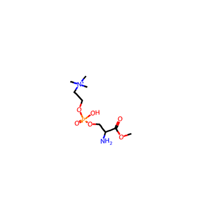 COC(=O)C(N)COP(=O)(O)OCC[N+](C)(C)C